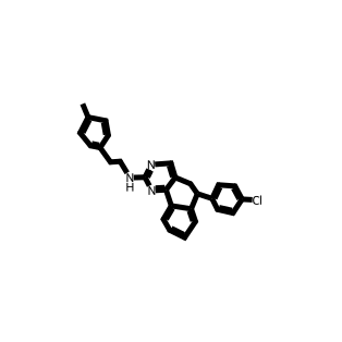 Cc1ccc(CCNc2ncc3c(n2)-c2ccccc2C(c2ccc(Cl)cc2)C3)cc1